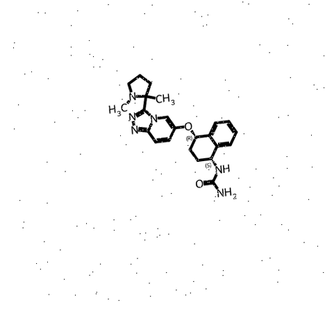 CN1CCCC1(C)c1nnc2ccc(O[C@@H]3CC[C@H](NC(N)=O)c4ccccc43)cn12